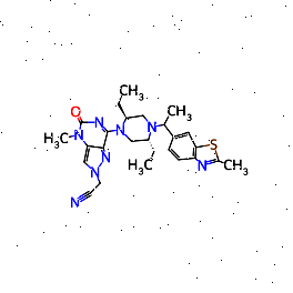 CC[C@H]1CN(C(C)c2ccc3nc(C)sc3c2)[C@H](CC)CN1c1nc(=O)n(C)c2cn(CC#N)nc12